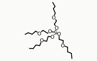 CCCCOCCO[Si](OCCOCCCC)(OCCOCCCC)OCCOCCCC